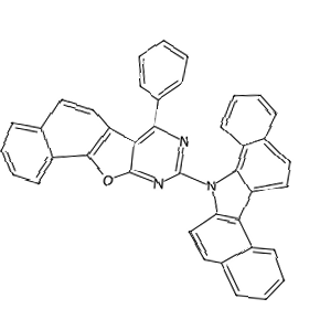 c1ccc(-c2nc(-n3c4ccc5ccccc5c4c4ccc5ccccc5c43)nc3oc4c5ccccc5ccc4c23)cc1